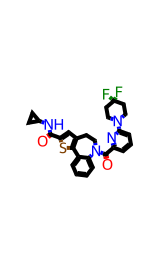 O=C(NC1CC1)c1cc2c(s1)-c1ccccc1N(C(=O)c1cccc(N3CCC(F)(F)CC3)n1)CC2